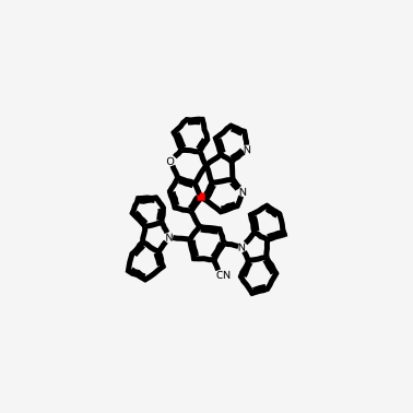 N#Cc1cc(-n2c3ccccc3c3ccccc32)c(-c2ccc3c(c2)C2(c4ccccc4O3)c3cccnc3-c3ncccc32)cc1-n1c2ccccc2c2ccccc21